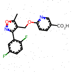 Cc1onc(-c2cc(F)ccc2F)c1COc1ccc(C(=O)O)cn1